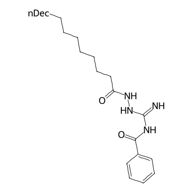 CCCCCCCCCCCCCCCCCC(=O)NNC(=N)NC(=O)c1ccccc1